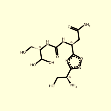 NC(=O)C[C@H](NC(=O)N[C@@H](CO)C(O)O)c1nc([C@@H](N)CO)no1